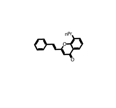 CCCc1cccc2c(=O)cc(C=Cc3ccccc3)oc12